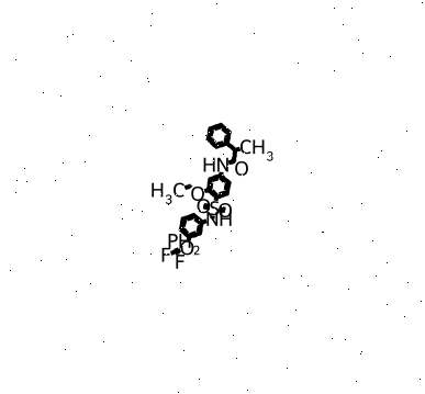 CCOc1cc(NC(=O)C(C)c2ccccc2)ccc1S(=O)(=O)Nc1cccc(OC(F)(F)P)c1